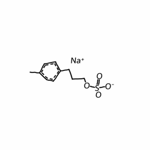 Cc1ccc(CCCOS(=O)(=O)[O-])cc1.[Na+]